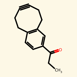 CCC(=O)c1ccc2c(c1)CCC#CCC2